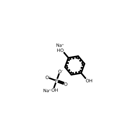 O=P([O-])([O-])O.Oc1ccc(O)cc1.[Na+].[Na+]